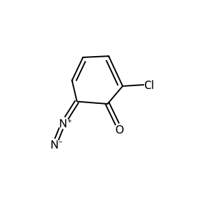 [N-]=[N+]=C1C=CC=C(Cl)C1=O